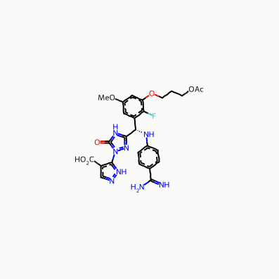 COc1cc(OCCCOC(C)=O)c(F)c([C@H](Nc2ccc(C(=N)N)cc2)c2nn(-c3[nH]ncc3C(=O)O)c(=O)[nH]2)c1